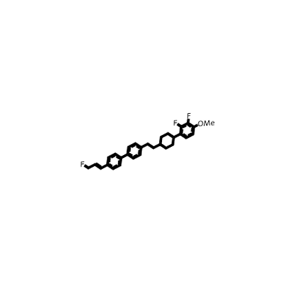 COc1ccc(C2CCC(CCc3ccc(-c4ccc(/C=C/CF)cc4)cc3)CC2)c(F)c1F